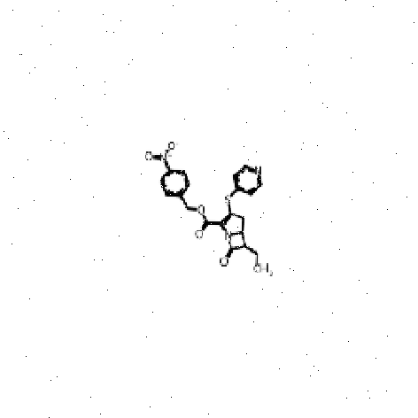 CCC1C(=O)N2C(C(=O)OCc3ccc([N+](=O)[O-])cc3)=C(Sc3ccncc3)CC12